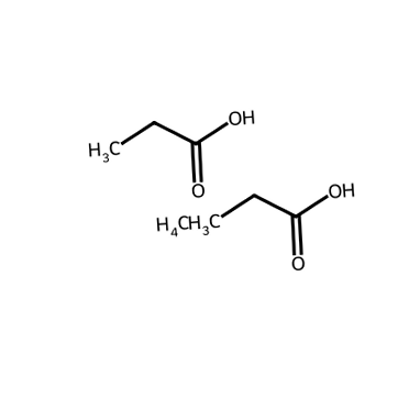 C.CCC(=O)O.CCC(=O)O